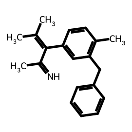 CC(=N)C(=C(C)C)c1ccc(C)c(Cc2ccccc2)c1